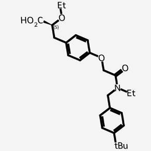 CCO[C@@H](Cc1ccc(OCC(=O)N(CC)Cc2ccc(C(C)(C)C)cc2)cc1)C(=O)O